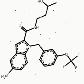 CC(O)CCNC(=O)c1cc2cc(N)ccc2n1Cc1cccc(OC(F)(F)F)c1